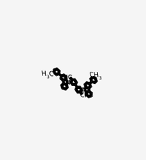 Cc1cccc(-c2ccc3c(c2)c2ccccc2n3-c2cc(-c3ccc(C#N)c(-n4c5ccccc5c5cc(-c6cccc(C)c6)ccc54)c3)ccc2C#N)c1